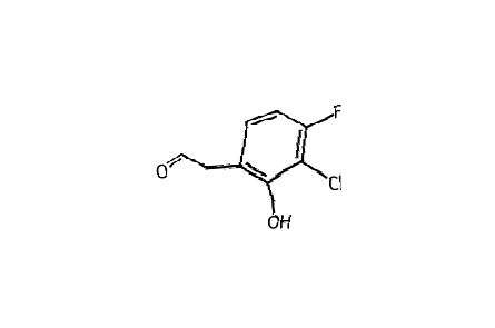 O=CCc1ccc(F)c(Cl)c1O